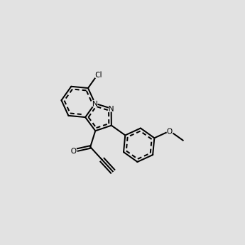 C#CC(=O)c1c(-c2cccc(OC)c2)nn2c(Cl)cccc12